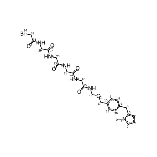 Cn1cccc1Cc1ccc(COCNC(=O)CNC(=O)CNC(=O)CNC(=O)CNC(=O)CBr)cc1